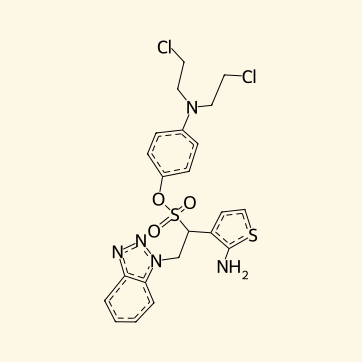 Nc1sccc1C(Cn1nnc2ccccc21)S(=O)(=O)Oc1ccc(N(CCCl)CCCl)cc1